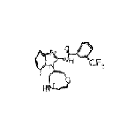 Cc1cccc2nc(NC(=O)c3cccc(C(F)(F)F)c3)n([C@H]3CNCCOC3)c12